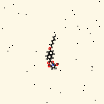 CCCCCCCOc1ccc2cc(C(=O)ON3C(=O)CCC3=O)ccc2c1